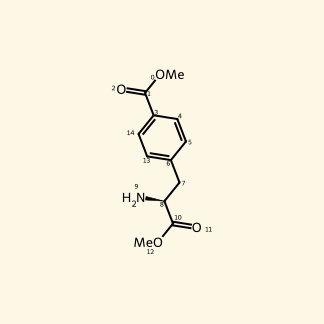 COC(=O)c1ccc(C[C@H](N)C(=O)OC)cc1